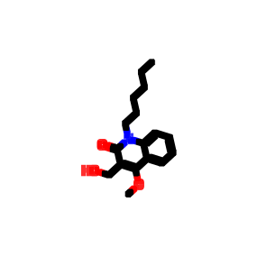 CCCCCCn1c(=O)c(CO)c(OC)c2ccccc21